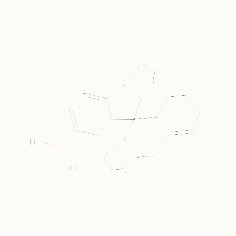 OB(O)c1ccc2c(c1)C1(c3ccccc3Sc3ccccc31)c1ccccc1-2